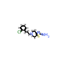 Nc1nc2c(s1)CCN(CCCc1ccccc1Cl)CC2